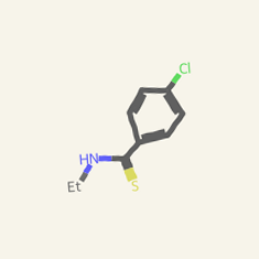 CCNC(=S)c1ccc(Cl)cc1